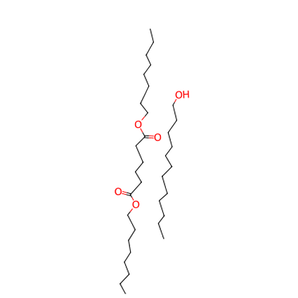 CCCCCCCCCCCCO.CCCCCCCCOC(=O)CCCCC(=O)OCCCCCCCC